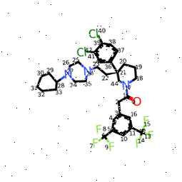 O=C(Cc1cc(C(F)(F)F)cc(C(F)(F)F)c1)N1CCC[C@@](CCN2CCN(C3CCCCC3)CC2)(c2ccc(Cl)c(Cl)c2)C1